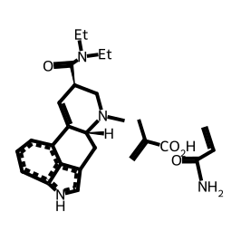 C=C(C)C(=O)O.C=CC(N)=O.CCN(CC)C(=O)[C@@H]1C=C2c3cccc4[nH]cc(c34)C[C@H]2N(C)C1